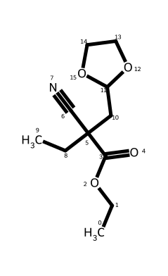 CCOC(=O)C(C#N)(CC)CC1OCCO1